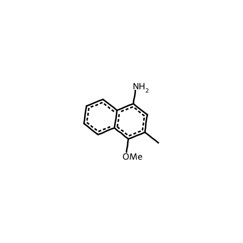 COc1c(C)cc(N)c2ccccc12